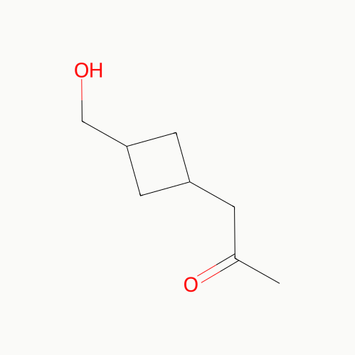 CC(=O)CC1CC(CO)C1